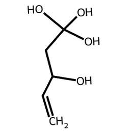 C=CC(O)CC(O)(O)O